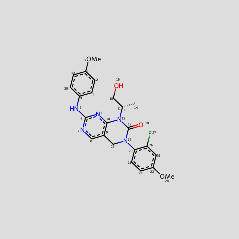 COc1ccc(Nc2ncc3c(n2)N([C@@H](C)CO)C(=O)N(c2ccc(OC)cc2F)C3)cc1